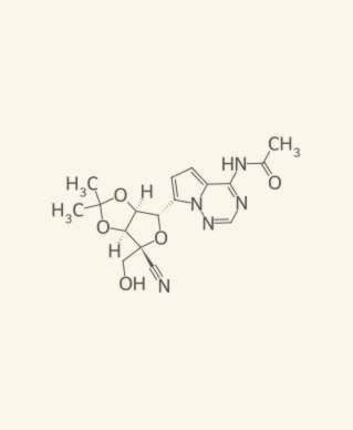 CC(=O)Nc1ncnn2c([C@@H]3O[C@](C#N)(CO)[C@H]4OC(C)(C)O[C@@H]34)ccc12